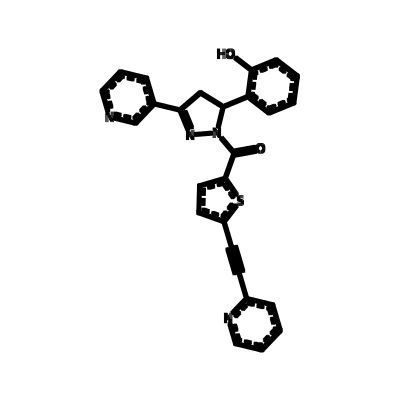 O=C(c1ccc(C#Cc2ccccn2)s1)N1N=C(c2cccnc2)CC1c1ccccc1O